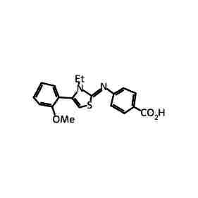 CCn1c(-c2ccccc2OC)cs/c1=N\c1ccc(C(=O)O)cc1